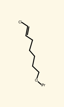 CC(C)OCCCCCC=CCl